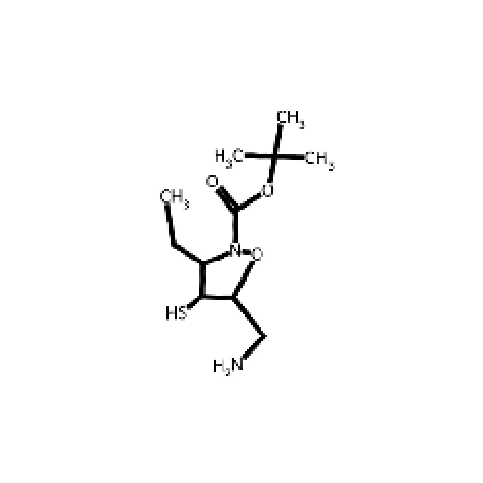 CCC1C(S)C(CN)ON1C(=O)OC(C)(C)C